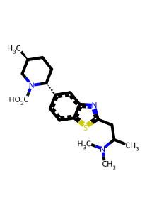 CC(Cc1nc2cc([C@H]3CC[C@H](C)CN3C(=O)O)ccc2s1)N(C)C